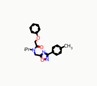 Cc1ccc(-c2noc(CN(C(=O)COc3ccccc3)C(C)C)n2)cc1